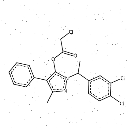 Cc1nn(C(C)c2ccc(Cl)c(Cl)c2)c(OC(=O)CCl)c1-c1ccccc1